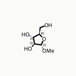 CO[C@H]1O[C@H](CO)[C@@H](O)[C@@H]1O